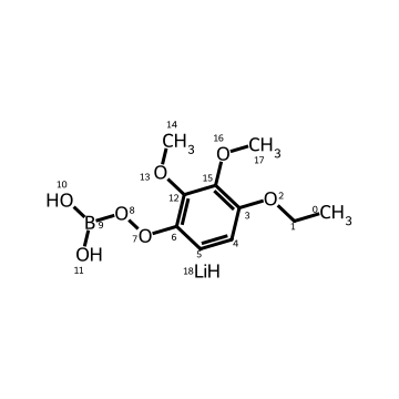 CCOc1ccc(OOB(O)O)c(OC)c1OC.[LiH]